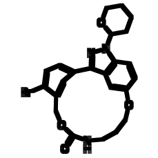 O=C1NCCCOc2ccc3c(c2)c(nn3C2CCCCO2)-c2ccc(Br)c(c2)CO1